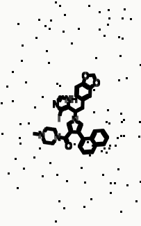 CN1CCN(C(=O)c2cn(C(Cc3ccc4c(c3)OCO4)c3[nH]cnc3I)cc2-c2cccc3ccccc23)CC1